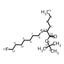 CCCCC(SCCCCCCCF)C(=O)OC(C)(C)C